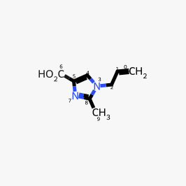 C=CCn1cc(C(=O)O)nc1C